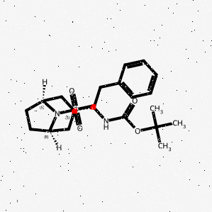 CC(C)(C)OC(=O)NC[C@@H]1C[C@H]2CC[C@@H](C1)N2S(=O)(=O)CCc1ccccc1